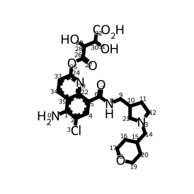 Nc1c(Cl)cc(C(=O)NCC2CCN(CC3CCOCC3)C2)c2nc(OC(=O)C(O)C(O)C(=O)O)ccc12